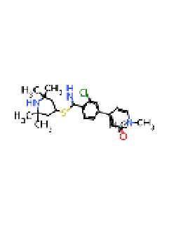 CN(C)/C=C\C(=C/C=O)c1ccc(C(=N)SC2CC(C)(C)NC(C)(C)C2)c(Cl)c1